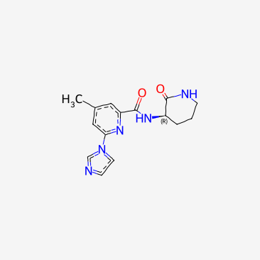 Cc1cc(C(=O)N[C@@H]2CCCNC2=O)nc(-n2ccnc2)c1